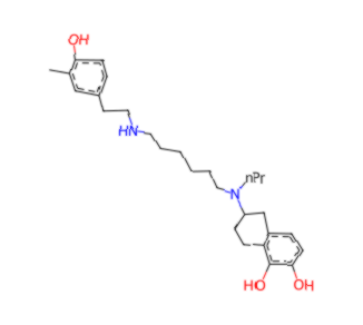 CCCN(CCCCCCNCCc1ccc(O)c(C)c1)C1CCc2c(ccc(O)c2O)C1